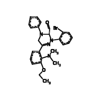 CCOc1cccc(C2=NN(c3ccccc3Br)C(C=O)N(c3ccccc3)C2)c1N(C)C